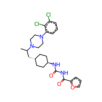 CC(C[C@H]1CC[C@H](NC(=O)NC(=O)c2ccco2)CC1)N1CCN(c2cccc(Cl)c2Cl)CC1